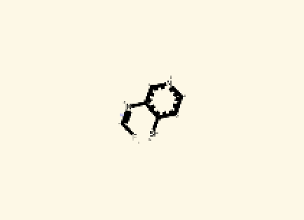 F/C=N\c1cnccc1S